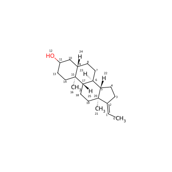 C/C=C1\CC[C@H]2[C@@H]3CC[C@H]4CC(O)CC[C@]4(C)[C@H]3CC[C@]12C